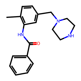 Cc1ccc(CN2CCNCC2)cc1NC(=O)c1ccccc1